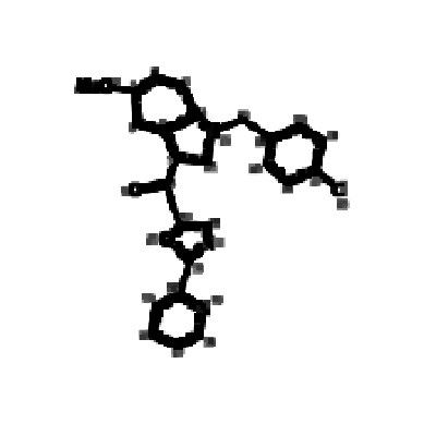 COc1ccc2c(c1)c(C(=O)c1cnc(-c3ccccn3)o1)cn2Cc1ccc(Cl)cc1